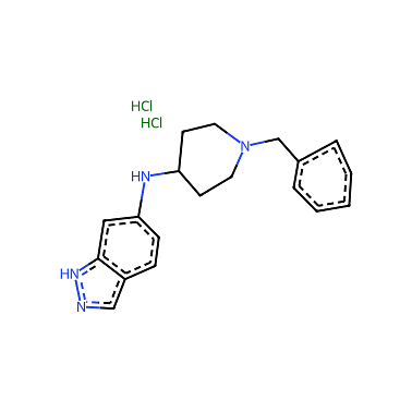 Cl.Cl.c1ccc(CN2CCC(Nc3ccc4cn[nH]c4c3)CC2)cc1